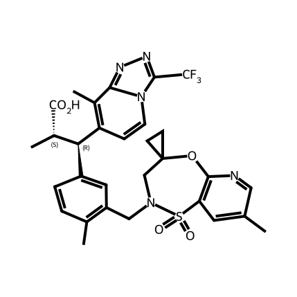 Cc1cnc2c(c1)S(=O)(=O)N(Cc1cc([C@H](c3ccn4c(C(F)(F)F)nnc4c3C)[C@H](C)C(=O)O)ccc1C)CC1(CC1)O2